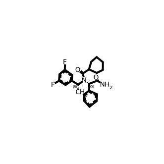 C[C@H](c1cc(F)cc(F)c1)N(C(=O)C1CCCCC1)[C@H](C(N)=O)c1ccccc1